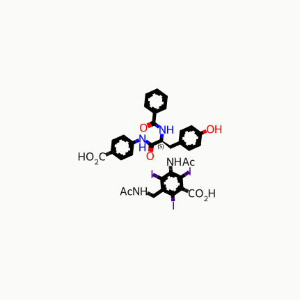 CC(=O)NCc1c(I)c(NC(C)=O)c(I)c(C(=O)O)c1I.O=C(O)c1ccc(NC(=O)[C@H](Cc2ccc(O)cc2)NC(=O)c2ccccc2)cc1